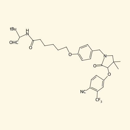 CC(C)(C)C(C=O)NC(=O)CCCCCOc1ccc(CN2CC(C)(C)C(Oc3ccc(C#N)c(C(F)(F)F)c3)C2=O)cc1